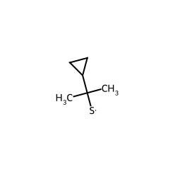 CC(C)([S])C1CC1